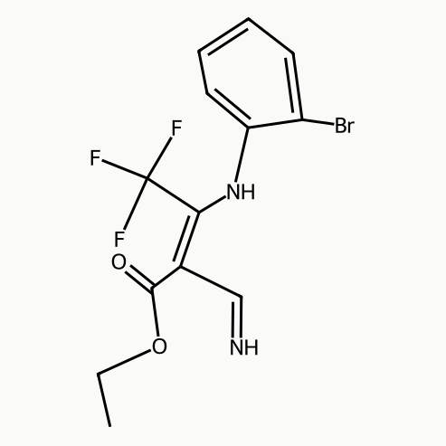 CCOC(=O)/C(C=N)=C(/Nc1ccccc1Br)C(F)(F)F